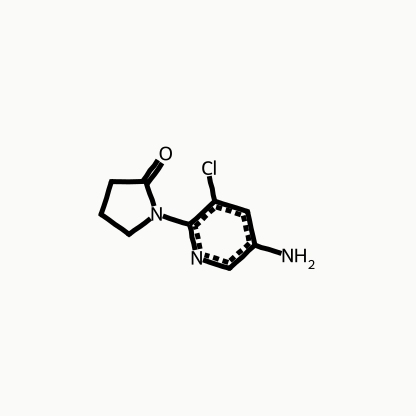 Nc1cnc(N2CCCC2=O)c(Cl)c1